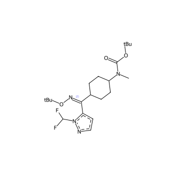 CN(C(=O)OC(C)(C)C)C1CCC(/C(=N/OC(C)(C)C)c2ccnn2C(F)F)CC1